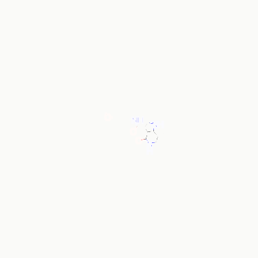 CCCCO[C@H]1CC[C@H](NC(=O)c2c[nH]c3c(Cl)c[nH]c(=O)c23)CC1